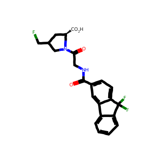 O=C(NCC(=O)N1CC(CF)C[C@H]1C(=O)O)c1ccc2c(c1)-c1ccccc1C2(F)F